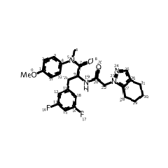 COc1ccc(N(C)C(=O)C(Cc2cc(F)cc(F)c2)NC(=O)Cn2ncc3c2CCCC3)cc1